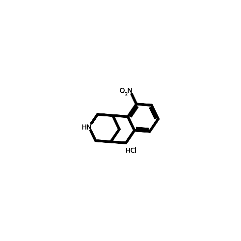 Cl.O=[N+]([O-])c1cccc2c1C1CNCC(C2)C1